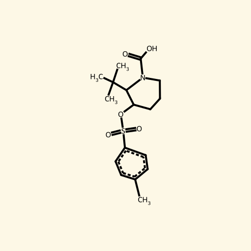 Cc1ccc(S(=O)(=O)OC2CCCN(C(=O)O)C2C(C)(C)C)cc1